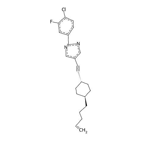 C=CCCC[C@H]1CC[C@H](C#Cc2cnc(-c3ccc(Cl)c(F)c3)nc2)CC1